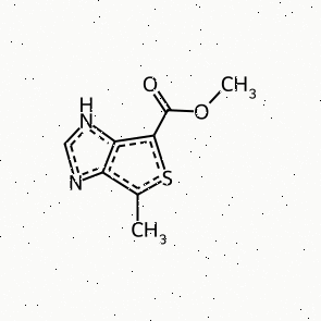 COC(=O)c1sc(C)c2nc[nH]c12